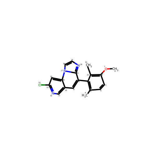 COc1ccc(C)c(-c2cc3cnc(Cl)cc3n3ccnc23)c1C